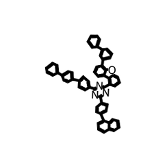 c1ccc(-c2ccc(-c3ccc(-c4nc(-c5ccc(-c6cccc7ccccc67)cc5)nc(-c5cccc6oc7c(-c8cccc(-c9ccccc9)c8)cccc7c56)n4)cc3)cc2)cc1